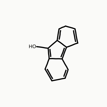 OC1=c2ccccc2=C2C=CCC=C12